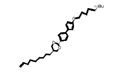 C=CCCCCCCC[C@H]1CO[C@H](c2ccc(-c3ccc(OCCCCC[C@@H](C)CC)cc3)cc2)OC1